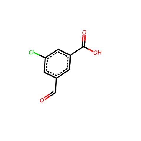 O=Cc1cc(Cl)cc(C(=O)O)c1